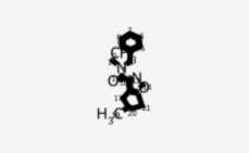 CCN(Cc1ccccc1)C(=O)c1noc2c1CC(C)CC2